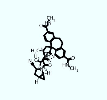 CNC(=O)c1ccc2c(c1)CCc1cc(C(=O)NC)ccc1C2(C[C@H](C)NCC(=O)N1C(C#N)C[C@@H]2C[C@@H]21)c1nnc(C(C)C)o1